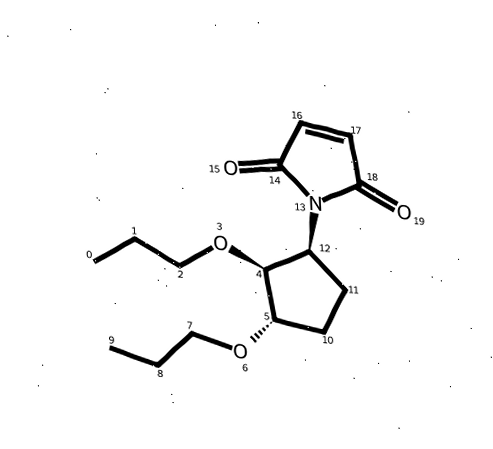 CCCO[C@@H]1[C@@H](OCCC)CC[C@@H]1N1C(=O)C=CC1=O